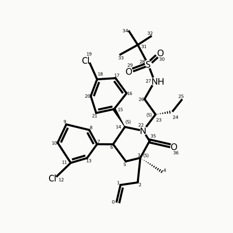 C=CC[C@@]1(C)CC(c2cccc(Cl)c2)[C@@H](c2ccc(Cl)cc2)N([C@@H](CC)CNS(=O)(=O)C(C)(C)C)C1=O